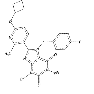 CCCn1c(=O)c2c(nc(-c3ccc(OC4CCC4)nc3C)n2Cc2ccc(F)cc2)n(CC)c1=O